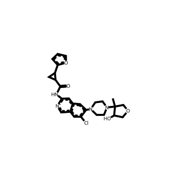 CC1(N2CCN(c3cc4cc(NC(=O)C5CC5c5ccco5)ncc4cc3Cl)CC2)COCC1O